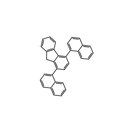 [c]1cccc2c1Cc1c(-c3cccc4ccccc34)ccc(-c3cccc4ccccc34)c1-2